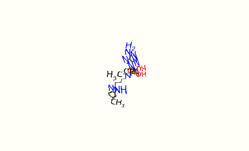 Cc1ccc2nc(CCCCN(C[C@H]3O[C@@H](n4cnc5c(N)ncnc54)[C@H](O)[C@@H]3O)C(C)C)[nH]c2c1